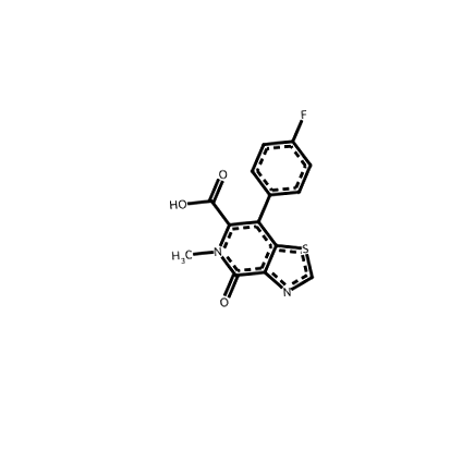 Cn1c(C(=O)O)c(-c2ccc(F)cc2)c2scnc2c1=O